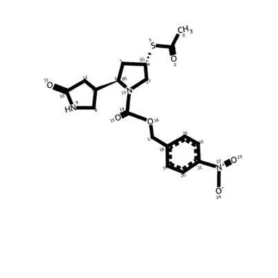 CC(=O)S[C@H]1C[C@H](C2CNC(=O)C2)N(C(=O)OCc2ccc([N+](=O)[O-])cc2)C1